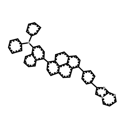 c1ccc(N(c2ccccc2)c2ccc(-c3ccc4ccc5c(-c6ccc(-c7cn8cccnc8n7)cc6)ccc6ccc3c4c65)c3ccccc23)cc1